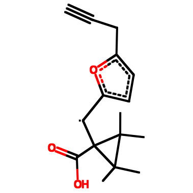 C#CCc1ccc([CH]C2(C(=O)O)C(C)(C)C2(C)C)o1